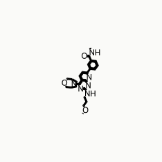 CNC(=O)c1cccc(-c2ccc3c(N4C5CCC4COC5)nc(NCCCOC)nc3n2)c1